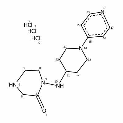 Cl.Cl.Cl.O=C1CNCCN1NC1CCN(c2ccncc2)CC1